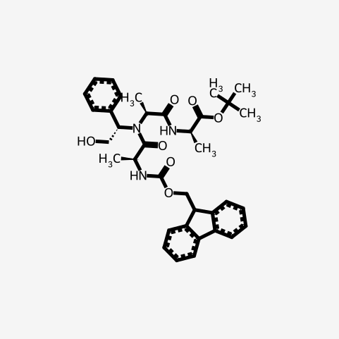 C[C@H](NC(=O)OCC1c2ccccc2-c2ccccc21)C(=O)N([C@H](CO)c1ccccc1)[C@@H](C)C(=O)N[C@H](C)C(=O)OC(C)(C)C